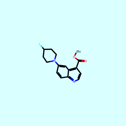 CC(C)(C)OC(=O)c1ccnc2ccc(N3CCC(F)CC3)cc12